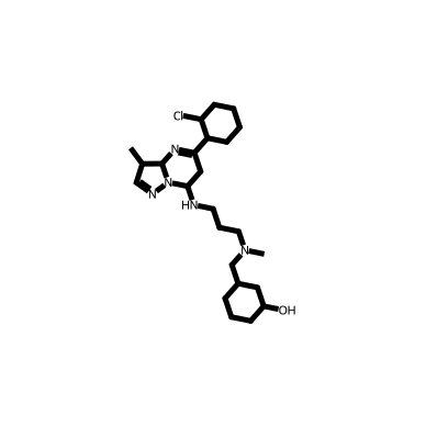 CC1C=NN2C(NCCCN(C)CC3CCCC(O)C3)CC(C3CCCCC3Cl)=NC12